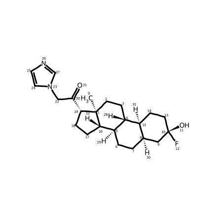 C[C@]12CC[C@H]3[C@@H](CC[C@@H]4C[C@@](O)(F)CC[C@@H]43)[C@@H]1CC[C@@H]2C(=O)Cn1ccnc1